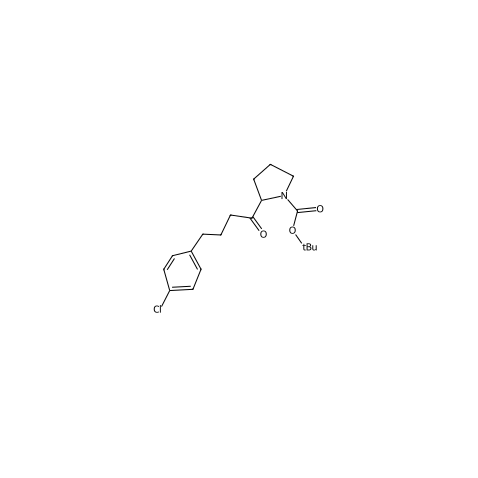 CC(C)(C)OC(=O)N1CCCC1C(=O)CCCc1ccc(Cl)cc1